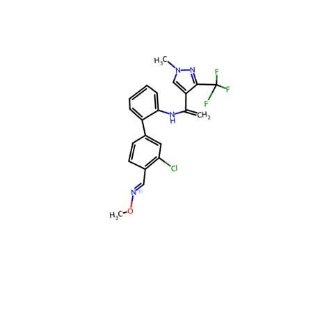 C=C(Nc1ccccc1-c1ccc(/C=N/OC)c(Cl)c1)c1cn(C)nc1C(F)(F)F